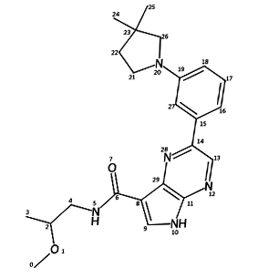 COC(C)CNC(=O)c1c[nH]c2ncc(-c3cccc(N4CCC(C)(C)C4)c3)nc12